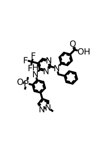 Cn1cc(-c2ccc(Nc3nc(N(Cc4ccccc4)c4ccc(C(=O)O)cc4)ncc3C(F)(F)F)c(P(C)(C)=O)c2)cn1